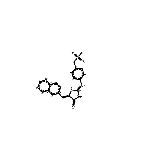 CS(=O)(=O)Cc1ccc(/N=C2/NC(=O)/C(=C/c3ccc4ncccc4c3)S2)cc1